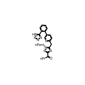 CCCCCn1nc(C(=O)CCC)nc1Cc1ccc(-c2ccccc2-c2nnn[nH]2)cn1